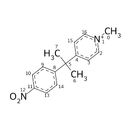 C[n+]1ccc(C(C)(C)c2ccc([N+](=O)[O-])cc2)cc1